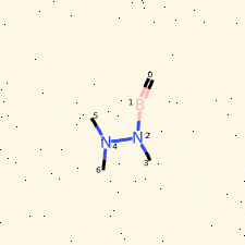 C=BN(C)N(C)C